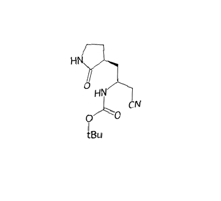 CC(C)(C)OC(=O)NC(CC#N)C[C@@H]1CCNC1=O